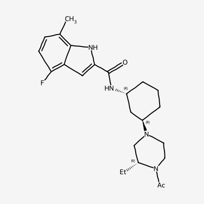 CC[C@@H]1CN([C@@H]2CCC[C@@H](NC(=O)c3cc4c(F)ccc(C)c4[nH]3)C2)CCN1C(C)=O